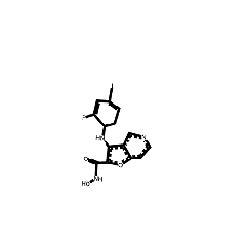 O=C(NO)c1oc2ccncc2c1NC1CC=C(I)C=C1F